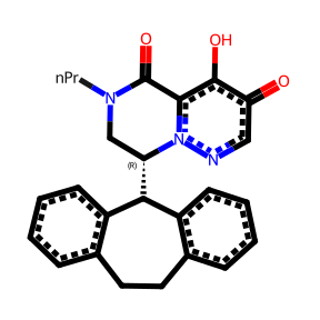 CCCN1C[C@@H](C2c3ccccc3CCc3ccccc32)n2ncc(=O)c(O)c2C1=O